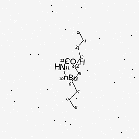 CCCCCCCCCC.CCCCNC(=O)O